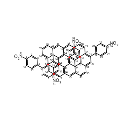 O=[N+]([O-])c1ccc(-c2ccc3cc4c5c6c7c8c(cc9ccc%10c(-c%11ccc([N+](=O)[O-])cc%11)cc%11c(c%10c97)C6(c6ccc([N+](=O)[O-])cc6)C(=C4)C=C%11)C=C4C=CC=C6c2c3c5c8C46c2ccc([N+](=O)[O-])cc2)cc1